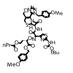 CCCC(=O)OCC[C@H](O/N=C(\C(=O)N[C@@H]1C(=O)N2C(c3nnnn3Cc3ccc(OC)cc3)=C(CCl)CS[C@H]12)c1csc(NC(=O)OC(C)(C)C)n1)C(=O)OCc1ccc(OC)cc1